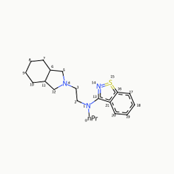 CCCN(CCN1CC2CCCCC2C1)c1nsc2ccccc12